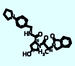 C[C@@H](C(=O)N1C[C@H](O)C[C@H]1C(=O)NCc1ccc(N2CCCC2)cc1)N1Cc2ccccc2C1=O